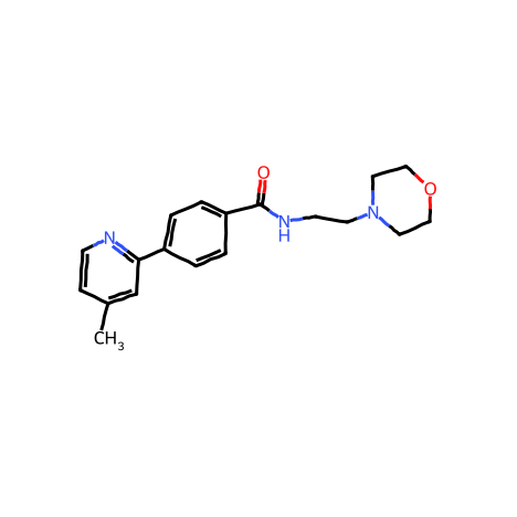 Cc1ccnc(-c2ccc(C(=O)NCCN3CCOCC3)cc2)c1